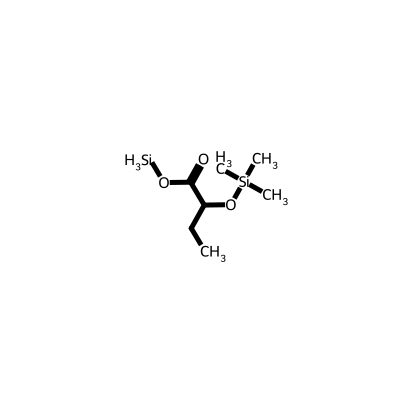 CCC(O[Si](C)(C)C)C(=O)O[SiH3]